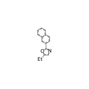 CCc1cnc(-c2ccc3ccccc3c2)o1